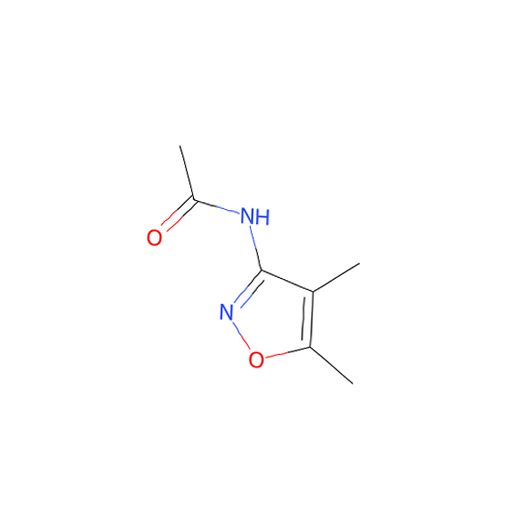 CC(=O)Nc1noc(C)c1C